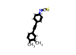 Cc1ccc(C#Cc2ccc(N=C=S)cc2)cc1C